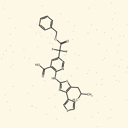 CC(C)Cc1sc(Nc2ncc(C(F)(F)C(=O)OCc3ccccc3)cc2C(=O)O)nc1-c1ccsc1